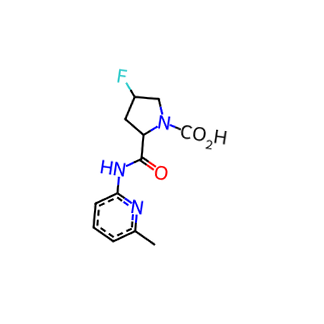 Cc1cccc(NC(=O)C2CC(F)CN2C(=O)O)n1